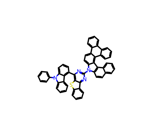 c1ccc(-n2c3ccccc3c3c(-c4nc(-n5c6ccc7ccccc7c6c6c7c8ccccc8c8ccccc8c7ccc65)nc5c4sc4ccccc45)cccc32)cc1